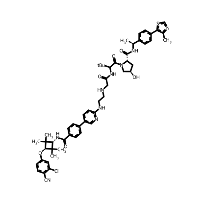 Cc1ncsc1-c1ccc([C@H](C)NC(=O)[C@@H]2C[C@@H](O)CN2C(=O)C(NC(=O)CNCCNc2ccc(-c3ccc(C(=O)N[C@H]4C(C)(C)[C@H](Oc5ccc(C#N)c(Cl)c5)C4(C)C)cc3)cn2)C(C)(C)C)cc1